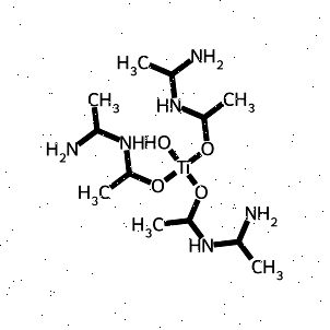 CC(N)NC(C)[O][Ti]([OH])([O]C(C)NC(C)N)[O]C(C)NC(C)N